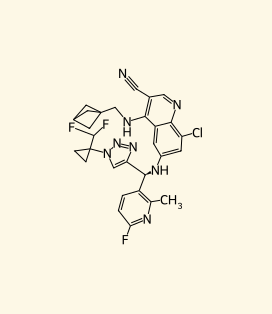 Cc1nc(F)ccc1[C@H](Nc1cc(Cl)c2ncc(C#N)c(NCC34CC(C3)C4)c2c1)c1cn(C2(C(F)F)CC2)nn1